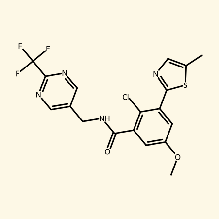 COc1cc(C(=O)NCc2cnc(C(F)(F)F)nc2)c(Cl)c(-c2ncc(C)s2)c1